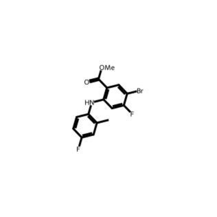 COC(=O)c1cc(Br)c(F)cc1Nc1ccc(F)cc1C